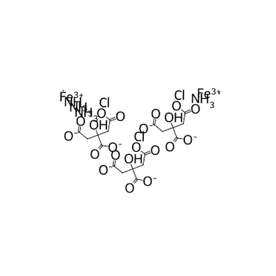 N.N.N.N.O=C([O-])CC(O)(CC(=O)OCl)C(=O)[O-].O=C([O-])CC(O)(CC(=O)OCl)C(=O)[O-].O=C([O-])CC(O)(CC(=O)OCl)C(=O)[O-].[Fe+3].[Fe+3]